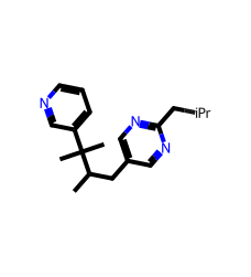 CC(C)Cc1ncc(CC(C)C(C)(C)c2cccnc2)cn1